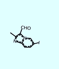 Cc1nc2ccc(I)cn2c1C=O